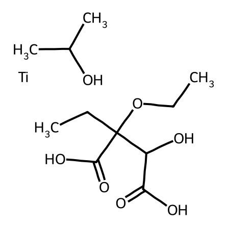 CC(C)O.CCOC(CC)(C(=O)O)C(O)C(=O)O.[Ti]